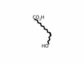 O=C(O)CCCCCCCCC/C=C\CCCCO